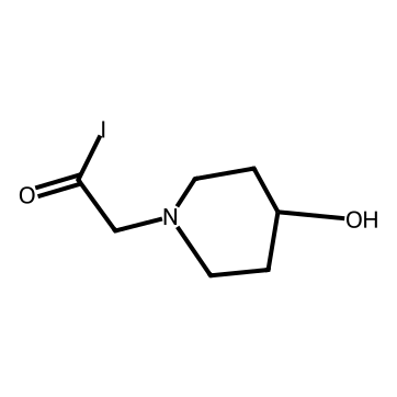 O=C(I)CN1CCC(O)CC1